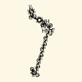 CC(C)C(NC(=O)CCOCCOCCOCCOCCOCCOCCN1C(=O)C=CC1=O)C(=O)NCC(=O)Nc1ccc(COC(=O)N2CCN(C)CC2)cc1